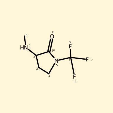 CNC1CCN(C(F)(F)F)C1=O